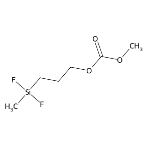 COC(=O)OCCC[Si](C)(F)F